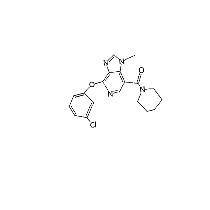 Cn1cnc2c(Oc3cccc(Cl)c3)ncc(C(=O)N3CCCCC3)c21